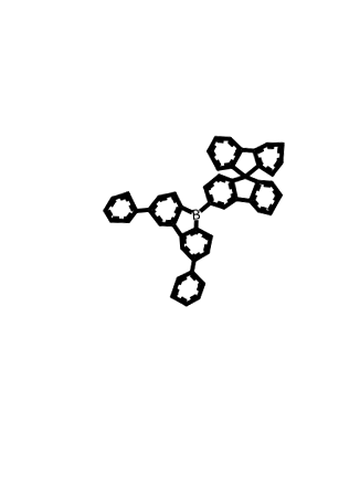 c1ccc(-c2ccc3c(c2)-c2cc(-c4ccccc4)ccc2B3c2ccc3c(c2)-c2ccccc2C32c3ccccc3-c3ccccc32)cc1